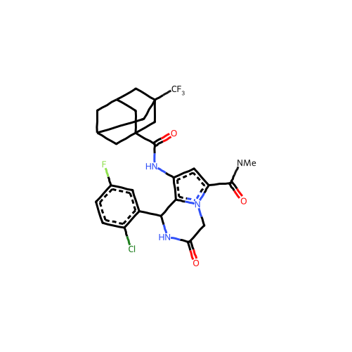 CNC(=O)c1cc(NC(=O)C23CC4CC(C2)CC(C(F)(F)F)(C4)C3)c2n1CC(=O)NC2c1cc(F)ccc1Cl